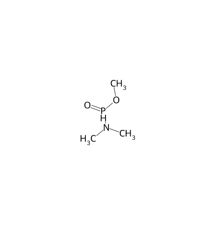 CO[PH](=O)N(C)C